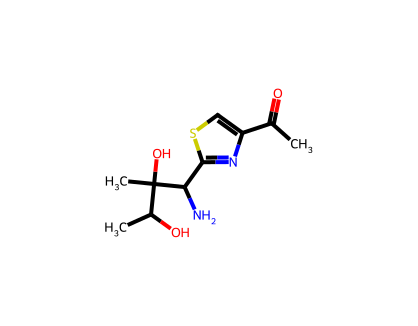 CC(=O)c1csc(C(N)C(C)(O)C(C)O)n1